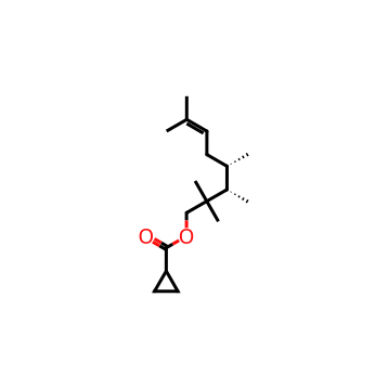 CC(C)=CC[C@H](C)[C@H](C)C(C)(C)COC(=O)C1CC1